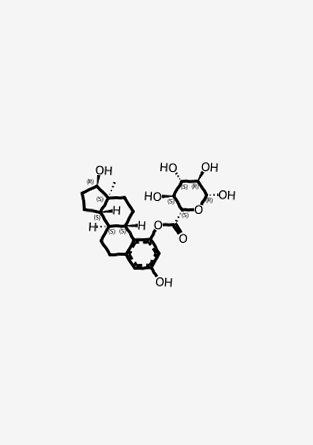 C[C@]12CC[C@@H]3c4c(cc(O)cc4OC(=O)[C@H]4O[C@@H](O)[C@H](O)[C@@H](O)[C@@H]4O)CC[C@H]3[C@@H]1CC[C@H]2O